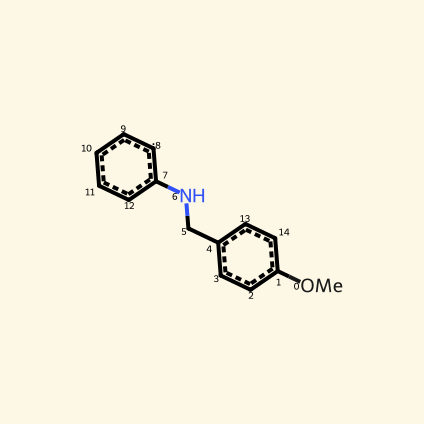 COc1ccc(CNc2[c]cccc2)cc1